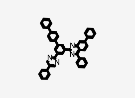 c1ccc(-c2ccc(-c3cc(-c4ncc(-c5ccccc5)cn4)cc(-c4nc(-c5ccccc5)c5ccc(-c6ccccc6)cc5n4)c3)cc2)cc1